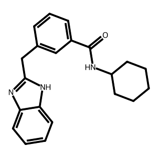 O=C(NC1CCCCC1)c1cccc(Cc2nc3ccccc3[nH]2)c1